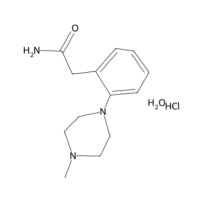 CN1CCN(c2ccccc2CC(N)=O)CC1.Cl.O